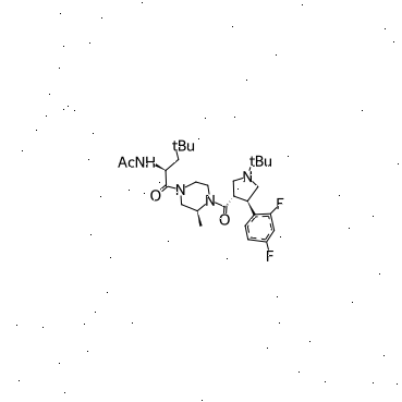 CC(=O)N[C@@H](CC(C)(C)C)C(=O)N1CCN(C(=O)[C@@H]2CN(C(C)(C)C)C[C@H]2c2ccc(F)cc2F)[C@@H](C)C1